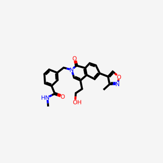 CNC(=O)c1cccc(Cn2cc(CCO)c3cc(-c4conc4C)ccc3c2=O)c1